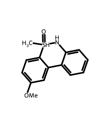 COc1ccc2c(c1)-c1ccccc1N[SH]2(C)=O